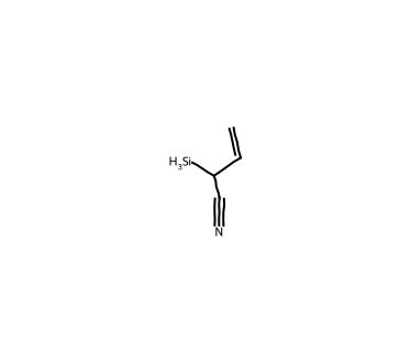 C=CC([SiH3])C#N